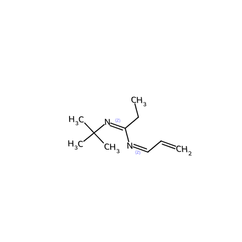 C=C/C=N\C(CC)=N/C(C)(C)C